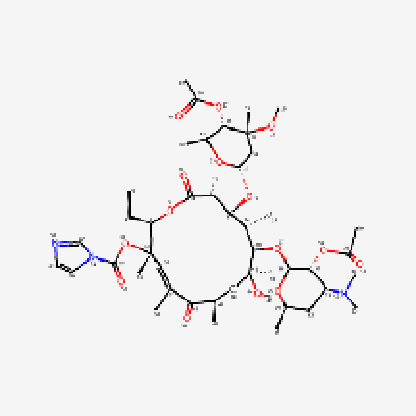 CC[C@H]1OC(=O)[C@H](C)[C@@H](O[C@H]2C[C@@](C)(OC)[C@@H](OC(C)=O)[C@H](C)O2)[C@H](C)[C@@H](OC2O[C@H](C)C[C@H](N(C)C)[C@H]2OC(C)=O)[C@@](C)(OC)C[C@@H](C)C(=O)/C(C)=C/[C@]1(C)OC(=O)n1ccnc1